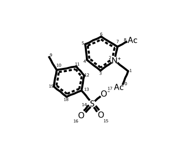 CC(=O)C[n+]1ccccc1C(C)=O.Cc1ccc(S(=O)(=O)[O-])cc1